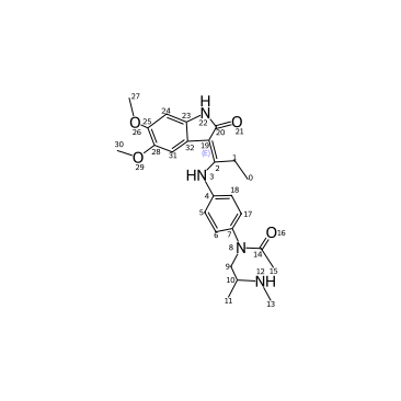 CC/C(Nc1ccc(N(CC(C)NC)C(C)=O)cc1)=C1\C(=O)Nc2cc(OC)c(OC)cc21